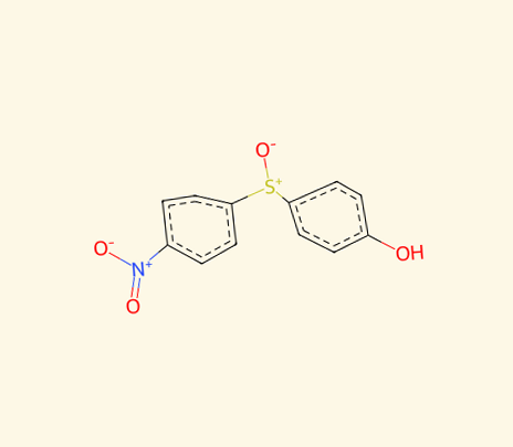 O=[N+]([O-])c1ccc([S+]([O-])c2ccc(O)cc2)cc1